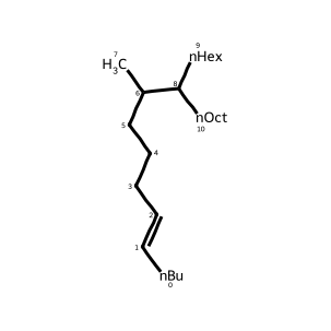 CCCC/C=C/CCCC(C)C(CCCCCC)CCCCCCCC